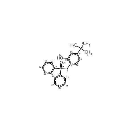 CC(C)(C)c1ccc(CP(=O)(c2ccccc2)c2ccccc2)c(O)c1